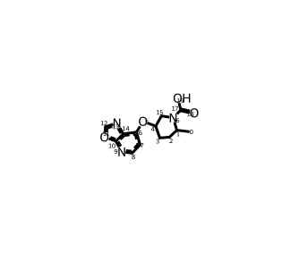 CC1CCC(Oc2ccnc3ocnc23)CN1C(=O)O